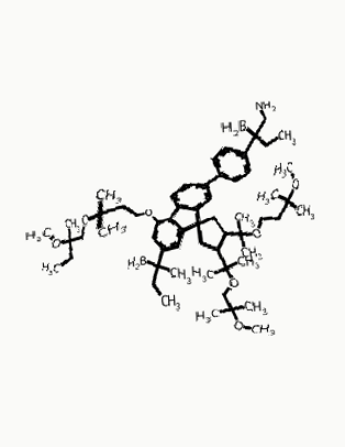 BC(C)(CC)c1cc(OCCC(C)(C)OCC(C)(CC)OC)c2c(c1)C1(CC(C(C)(C)OCCC(C)(C)OC)C(C(C)(C)OCC(C)(C)OC)C1)c1cc(-c3ccc(C(B)(CC)CN)cc3)ccc1-2